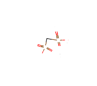 O=S(=O)(O)CS(=O)(=O)O.[K]